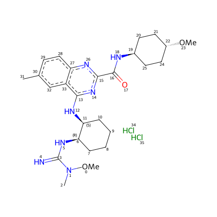 CON(C)C(=N)N[C@@H]1CCCC[C@@H]1Nc1nc(C(=O)N[C@H]2CC[C@H](OC)CC2)nc2ccc(C)cc12.Cl.Cl